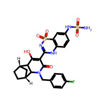 NS(=O)(=O)Nc1ccc2c(c1)S(=O)(=O)N=C(C1=C(O)C3C([C@@H]4CC[C@H]3C4)N(Cc3ccc(F)cc3)C1=O)N2